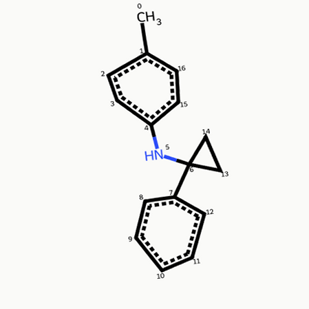 Cc1ccc(NC2(c3ccccc3)CC2)cc1